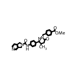 COC(=O)c1ccc(CN2N=C(c3ccc(NC(=O)N4Cc5ccncc5C4)cc3)C(C)CC2=O)cc1